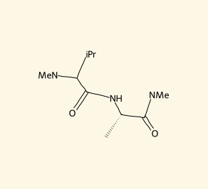 CNC(=O)[C@H](C)NC(=O)C(NC)C(C)C